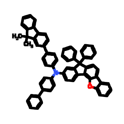 CC1(C)c2ccccc2-c2ccc(-c3ccc(N(c4ccc(-c5ccccc5)cc4)c4ccc5c(c4)C(c4ccccc4)(c4ccccc4)c4ccc6c(oc7ccccc76)c4-5)cc3)cc21